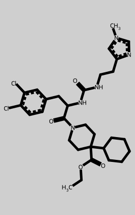 CCOC(=O)C1(C2CCCCC2)CCN(C(=O)C(Cc2ccc(Cl)c(Cl)c2)NC(=O)NCCc2cn(C)cn2)CC1